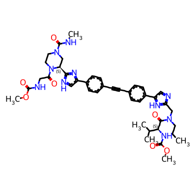 CCCN(Cc1ncc(-c2ccc(C#Cc3ccc(-c4c[nH]c([C@@H]5CN(C(=O)NC)CCN5C(=O)CNC(=O)OC)n4)cc3)cc2)[nH]1)C(=O)[C@@H](NC(=O)OC)C(C)C